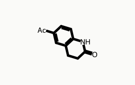 CC(=O)c1ccc2c(c1)CCC(=O)N2